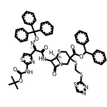 CC(C)(C)OC(=O)Nc1nc(/C(=N/OC(c2ccccc2)(c2ccccc2)c2ccccc2)C(=O)NC2C(=O)N3CC(SCSc4nncs4)(C(=O)OC(c4ccccc4)c4ccccc4)CS[C@H]23)cs1